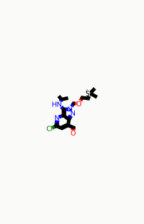 CC(C)Nc1c2nc(Cl)cc(C=O)c2nn1COCC[Si](C)(C)C